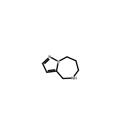 [c]1cc2n(n1)CCCNC2